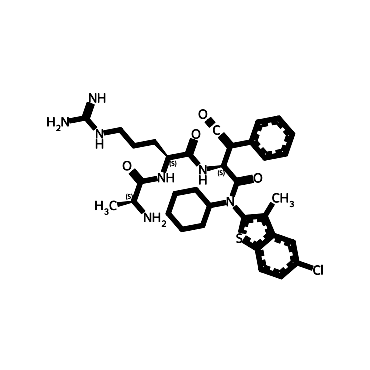 Cc1c(N(C(=O)[C@@H](NC(=O)[C@H](CCCNC(=N)N)NC(=O)[C@H](C)N)C(=C=O)c2ccccc2)C2CCCCC2)sc2ccc(Cl)cc12